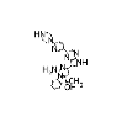 CC(O)(c1ccccc1)c1cc(-c2c[nH]c3ncc(-c4ccc(N5CCNCC5)nc4)nc23)nc(N)n1